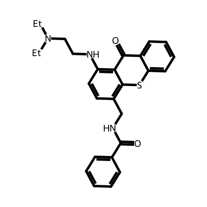 CCN(CC)CCNc1ccc(CNC(=O)c2ccccc2)c2sc3ccccc3c(=O)c12